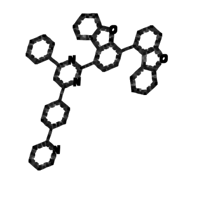 c1ccc(-c2cc(-c3ccc(-c4ccccn4)cc3)nc(-c3ccc(-c4cccc5oc6ccccc6c45)c4oc5ccccc5c34)n2)cc1